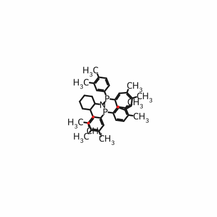 CC1=C(C)C=C(P(c2ccc(C)c(C)c2)N(C2CCCCC2CC(C)C)P(c2ccc(C)c(C)c2)c2ccc(C)c(C)c2)CC=C1